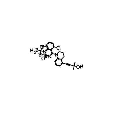 BC(B)(B)n1c(=O)nc(N2CCCc3c(C#CC(C)(C)O)cccc32)c2c(Cl)cccc21